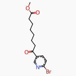 COC(=O)CCCCCCC(=O)c1ccc(Br)nc1